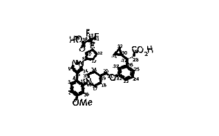 COc1ccc(-c2cnn(C3CCCC3)c2)c(N2CCC(COc3cccc([C@@H](CC(=O)O)C4CC4)c3)CC2)c1.O=C(O)C(F)(F)F